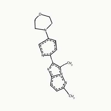 Cc1ccc2nc(-c3ccc(N4CCOCC4)cn3)c(C)n2n1